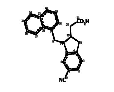 N#Cc1ccc2c(c1)N(Cc1cccc3ccccc13)C(CC(=O)O)C2